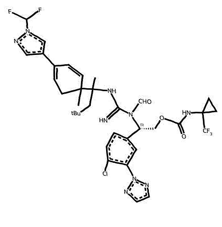 CC(C)(C)CC(C)(NC(=N)N(C=O)[C@H](COC(=O)NC1(C(F)(F)F)CC1)c1ccc(Cl)c(-n2nccn2)c1)C1(C)C=CC(c2cnn(C(F)F)c2)=CC1